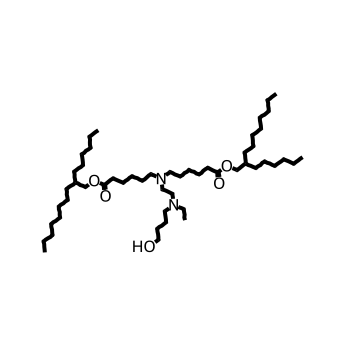 CCCCCCCCC(CCCCCC)COC(=O)CCCCCN(CCCCCC(=O)OCC(CCCCCC)CCCCCCCC)CCN(CC)CCCCO